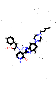 CCCCN1CCN(c2cc(C)c3nc(-c4c(NC(CO)Cc5ccccc5)cc[nH]c4=O)[nH]c3c2)CC1